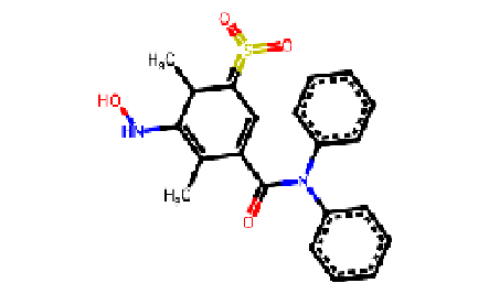 CC1=C(NO)C(C)C(=S(=O)=O)C=C1C(=O)N(c1ccccc1)c1ccccc1